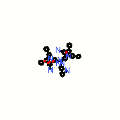 N#Cc1cccc(-c2cc(-c3nc(-c4ccc(-c5ccccc5C#N)cc4)nc(-c4ccc(-n5c6ccc(-c7ccccc7)cc6c6cc(-c7ccccc7)ccc65)c(-c5cccc(C#N)c5)c4)n3)ccc2-n2c3ccc(-c4ccccc4)cc3c3cc(-c4ccccc4)ccc32)c1